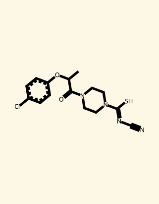 CC(Oc1ccc(Cl)cc1)C(=O)N1CCN(C(S)=NC#N)CC1